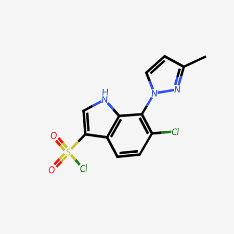 Cc1ccn(-c2c(Cl)ccc3c(S(=O)(=O)Cl)c[nH]c23)n1